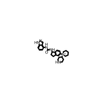 O=C(Nc1cccc2[nH]ncc12)NC1CCc2cc([N+]3(C4CCNCC4)CCCCC3)ccc21